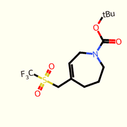 CC(C)(C)OC(=O)N1CC=C(CS(=O)(=O)C(F)(F)F)CCC1